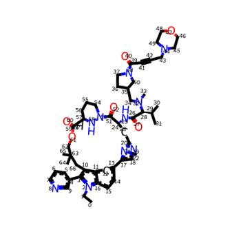 CCn1c(-c2cccnc2)c2c3cc(ccc31)-c1cnc(n1C)C[C@H](NC(=O)[C@H](C(C)C)N(C)CC1CCN(C(=O)C#CCN3CCOCC3)C1)C(=O)N1CCC[C@H](N1)C(=O)OCC(C)(C)C2